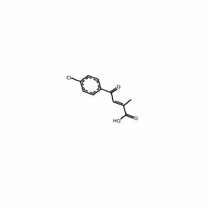 C/C(=C\C(=O)c1ccc(Cl)cc1)C(=O)O